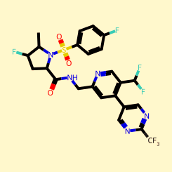 CC1C(F)CC(C(=O)NCc2cc(-c3cnc(C(F)(F)F)nc3)c(C(F)F)cn2)N1S(=O)(=O)c1ccc(F)cc1